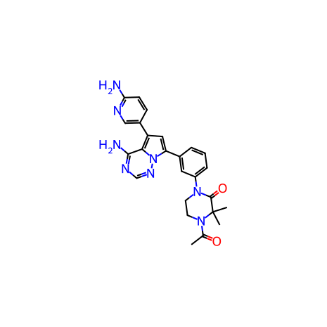 CC(=O)N1CCN(c2cccc(-c3cc(-c4ccc(N)nc4)c4c(N)ncnn34)c2)C(=O)C1(C)C